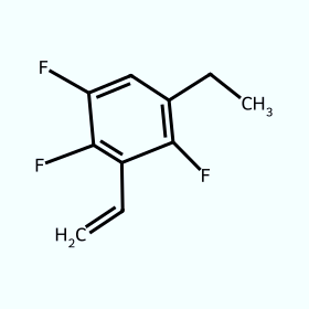 C=Cc1c(F)c(F)cc(CC)c1F